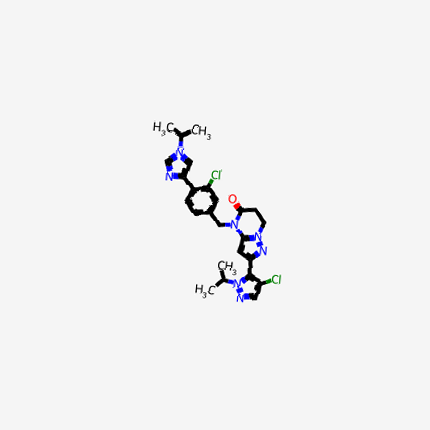 CC(C)n1cnc(-c2ccc(CN3C(=O)CCn4nc(-c5c(Cl)cnn5C(C)C)cc43)cc2Cl)c1